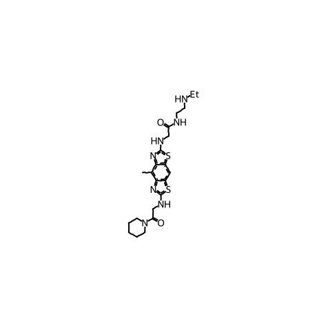 CCNCCNC(=O)CNc1nc2c(C)c3nc(NCC(=O)N4CCCCC4)sc3cc2s1